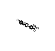 NC1(Cc2ccc(Cl)cc2)CCN(c2ccc3c(=O)[nH]cnc3c2)CC1